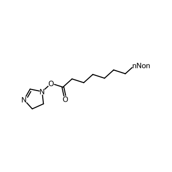 CCCCCCCCCCCCCCCC(=O)ON1C=NCC1